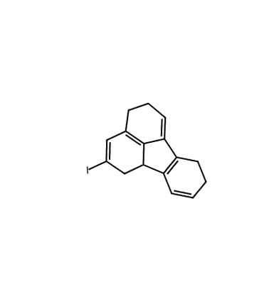 IC1=CC2=C3C(=CCC2)C2=C(C=CCC2)C3C1